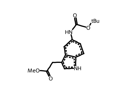 COC(=O)Cc1c[nH]c2ccc(NC(=O)OC(C)(C)C)cc12